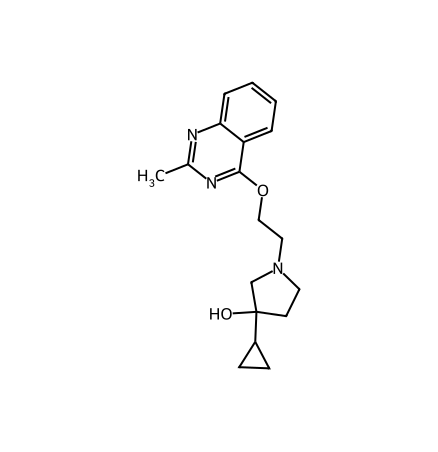 Cc1nc(OCCN2CCC(O)(C3CC3)C2)c2ccccc2n1